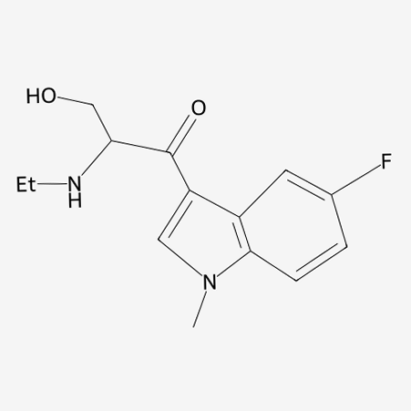 CCNC(CO)C(=O)c1cn(C)c2ccc(F)cc12